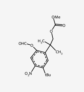 COC(=O)OCC(C)(C)c1cc(C(C)(C)C)c([N+](=O)[O-])cc1OC=O